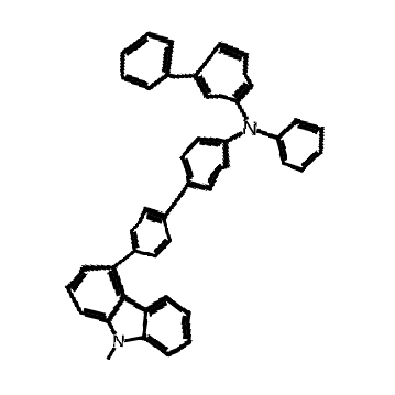 Cn1c2ccccc2c2c(-c3ccc(-c4ccc(N(c5ccccc5)c5cccc(-c6ccccc6)c5)cc4)cc3)cccc21